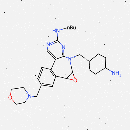 CCCCNc1ncc2c(n1)N(CC1CCC(N)CC1)C1OC1c1cc(CN3CCOCC3)ccc1-2